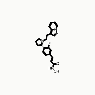 O=C(C=Cc1ccc([C@@H]2CCCN2CCc2cnn3ccccc23)c(F)c1)NO